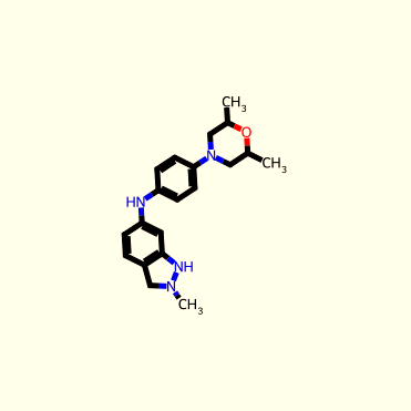 CC1CN(c2ccc(Nc3ccc4c(c3)NN(C)C4)cc2)CC(C)O1